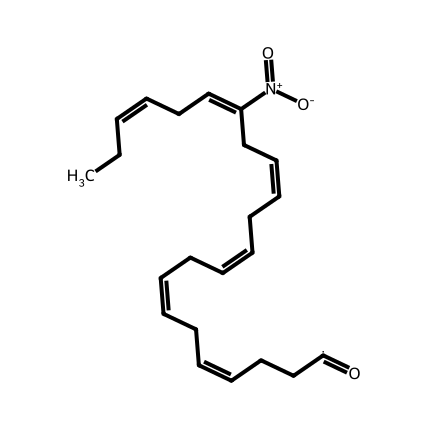 CC/C=C\C/C=C(\C/C=C\C/C=C\C/C=C\C/C=C\CC[C]=O)[N+](=O)[O-]